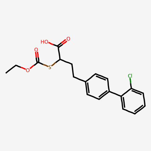 CCOC(=O)SC(CCc1ccc(-c2ccccc2Cl)cc1)C(=O)O